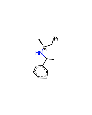 CC(C)C[C@H](C)NC(C)c1ccccc1